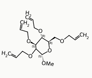 C=CCOC[C@H]1O[C@H](OC)C(OCC=C)[C@@H](OCC=C)[C@@H]1OCC=C